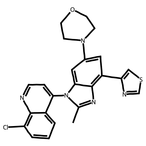 Cc1nc2c(-c3cscn3)cc(N3CCOCC3)cc2n1-c1ccnc2c(Cl)cccc12